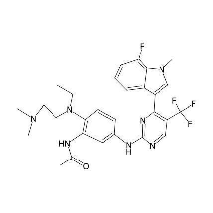 CCN(CCN(C)C)c1ccc(Nc2ncc(C(F)(F)F)c(-c3cn(C)c4c(F)cccc34)n2)cc1NC(C)=O